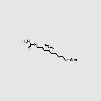 C=C=N.CCCCCCCCCCCCCCCCCCNC(N)=O